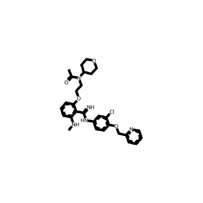 CNc1cccc(OCCN(C(C)=O)C2CCOCC2)c1C(=N)Nc1ccc(OCc2ccccn2)c(Cl)c1